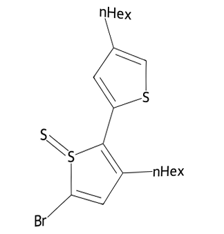 CCCCCCC1=C(c2cc(CCCCCC)cs2)S(=S)C(Br)=C1